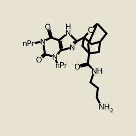 CCCn1c(=O)c2[nH]c(C34CC5CC(CC(C(=O)NCCCN)(C5)C3)C4)nc2n(CCC)c1=O